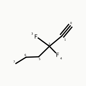 C#CC(F)(F)CCC